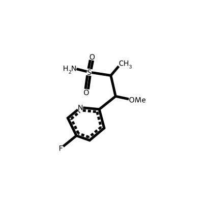 COC(c1ccc(F)cn1)C(C)S(N)(=O)=O